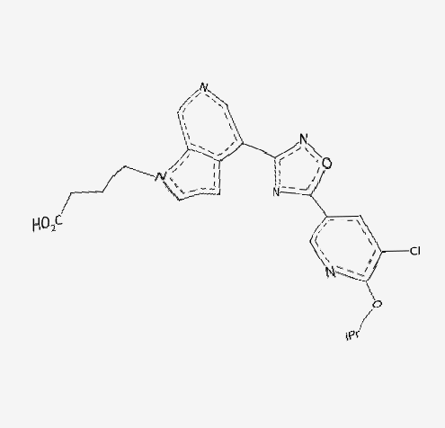 CC(C)Oc1ncc(-c2nc(-c3cncc4c3ccn4CCCC(=O)O)no2)cc1Cl